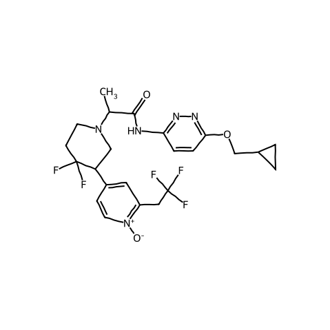 CC(C(=O)Nc1ccc(OCC2CC2)nn1)N1CCC(F)(F)C(c2cc[n+]([O-])c(CC(F)(F)F)c2)C1